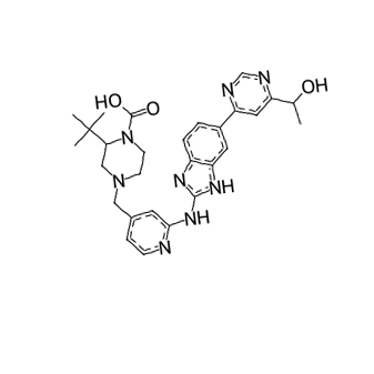 CC(O)c1cc(-c2ccc3nc(Nc4cc(CN5CCN(C(=O)O)C(C(C)(C)C)C5)ccn4)[nH]c3c2)ncn1